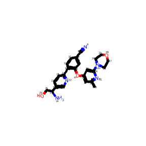 Cc1cc(Oc2cc(C#N)ccc2-c2ccc(C(N)CO)cn2)cc(N2CCOCC2)n1